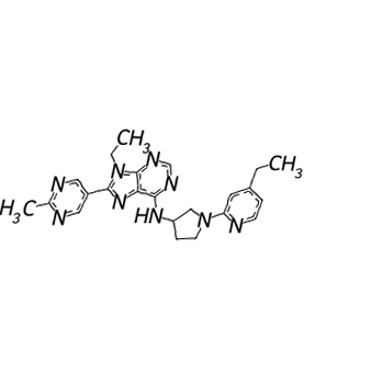 CCc1ccnc(N2CCC(Nc3ncnc4c3nc(-c3cnc(C)nc3)n4CC)C2)c1